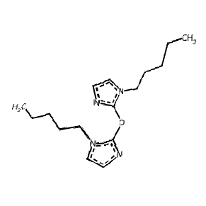 CCCCCn1ccnc1Oc1nccn1CCCCC